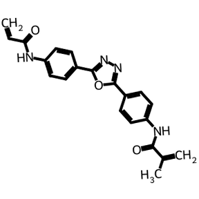 C=CC(=O)Nc1ccc(-c2nnc(-c3ccc(NC(=O)C(=C)C)cc3)o2)cc1